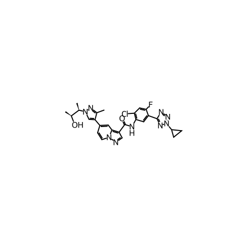 Cc1nn([C@H](C)[C@H](C)O)cc1-c1ccn2ncc(C(=O)Nc3cc(-c4nnn(C5CC5)n4)c(F)cc3Cl)c2c1